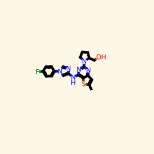 Cc1cc2nc(N3CCCC3CO)nc(Nc3cn(-c4ccc(F)cc4)cn3)c2s1